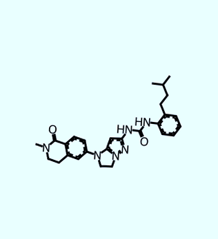 CC(C)CCc1ccccc1NC(=O)Nc1cc2n(n1)CCN2c1ccc2c(c1)CCN(C)C2=O